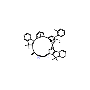 Bc1c2cc(-c3ccccc3C)cc1N1C/C(=C\C=C/C(=C)CC3=C(c4ccccc4C3(C)C)c3cccc-2c3C)C2=C1C1=C(CCC=C1)C2(C)C